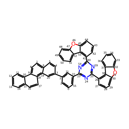 c1cc(-c2ccc3ccc4c5ccccc5ccc4c3c2)cc(-c2nc(-c3cccc4oc5ccccc5c34)nc(-c3cccc4oc5ccccc5c34)n2)c1